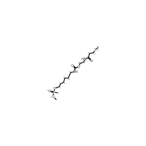 COP(C)(=O)OCCCCCCNC(=O)OCCNC(=O)CCSC